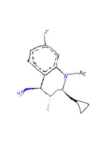 CC(=O)N1c2cc(F)ccc2[C@H](N)[C@@H](C)[C@@H]1C1CC1